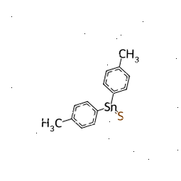 Cc1cc[c]([Sn](=[S])[c]2ccc(C)cc2)cc1